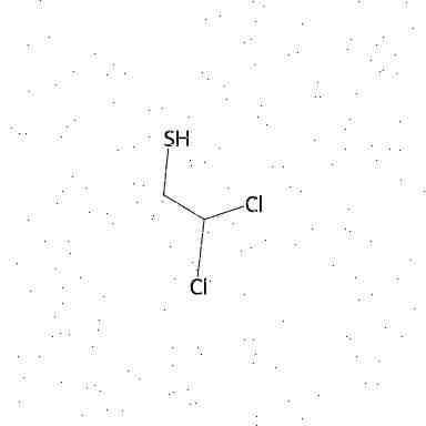 SCC(Cl)Cl